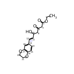 CCOC(=O)CC(=O)CC(O)/C=C/c1ccc2c(c1)OCCO2